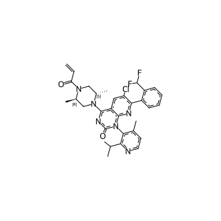 C=CC(=O)N1C[C@H](C)N(c2nc(=O)n(-c3c(C)ccnc3C(C)C)c3nc(-c4ccccc4C(F)F)c(Cl)cc23)C[C@H]1C